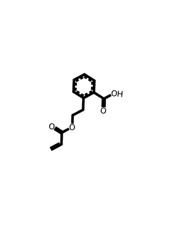 C=CC(=O)OCCc1ccccc1C(=O)O